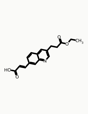 CCOC(=O)CCc1cnc2cc(/C=C/C(=O)O)ccc2c1